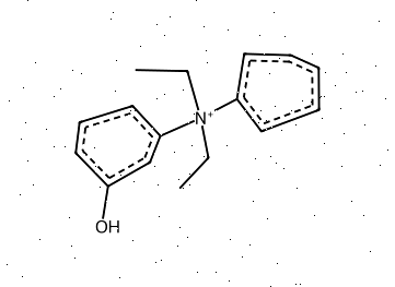 CC[N+](CC)(c1ccccc1)c1cccc(O)c1